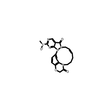 C[S+]([O-])c1ncc2c(=O)n3n(c2n1)-c1ccc2c(c1)N(CCC/C=C\C3)C(=O)CO2